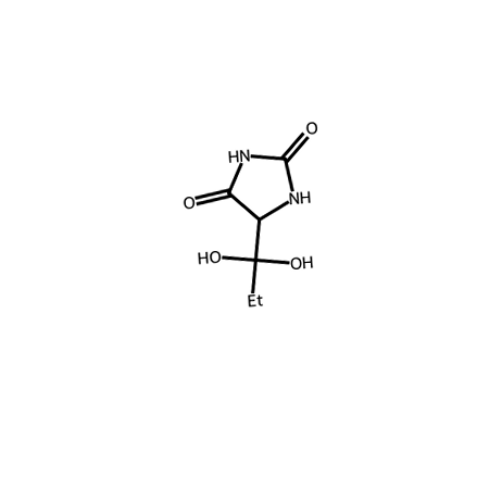 CCC(O)(O)C1NC(=O)NC1=O